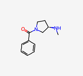 CN[C@@H]1CCN(C(=O)c2ccccc2)C1